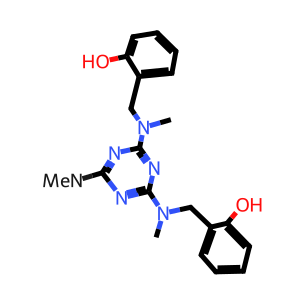 CNc1nc(N(C)Cc2ccccc2O)nc(N(C)Cc2ccccc2O)n1